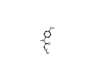 COc1ccc(N(C)C(=O)C=[N+]=[N-])cc1